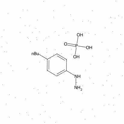 CCCCc1ccc(NN)cc1.O=P(O)(O)O